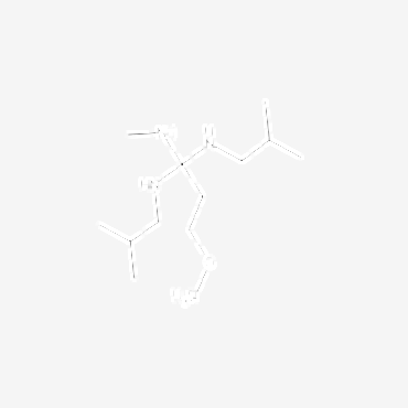 CNC(CCO[SiH3])(NCC(C)C)NCC(C)C